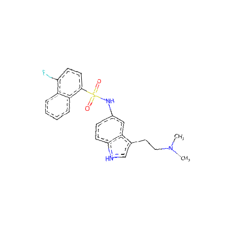 CN(C)CCc1c[nH]c2ccc(NS(=O)(=O)c3ccc(F)c4ccccc34)cc12